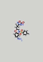 Cc1ccc(S(=O)(=O)N2CC(CC(C)(C)c3noc(=O)[nH]3)Oc3ccc(N)cc32)cc1